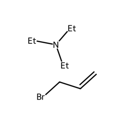 C=CCBr.CCN(CC)CC